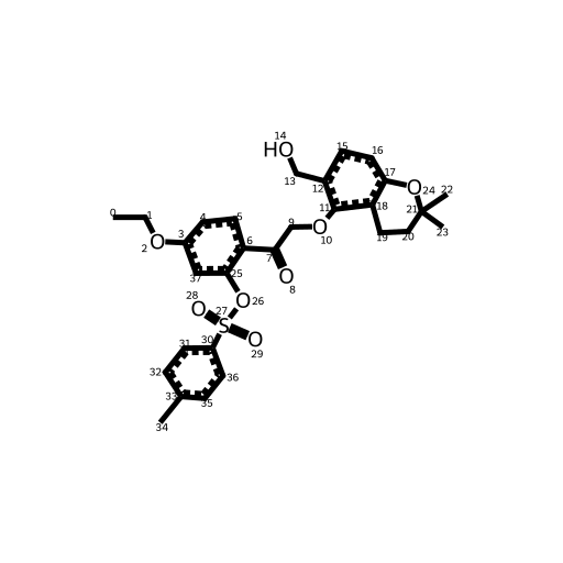 CCOc1ccc(C(=O)COc2c(CO)ccc3c2CCC(C)(C)O3)c(OS(=O)(=O)c2ccc(C)cc2)c1